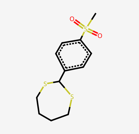 CS(=O)(=O)c1ccc(C2SCCCCS2)cc1